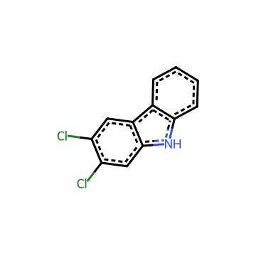 Clc1cc2[nH]c3ccccc3c2cc1Cl